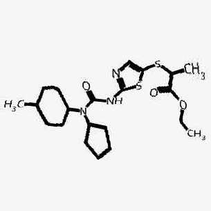 CCOC(=O)C(C)Sc1cnc(NC(=O)N(C2CCCC2)C2CCC(C)CC2)s1